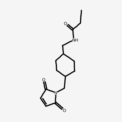 CCC(=O)NCC1CCC(CN2C(=O)C=CC2=O)CC1